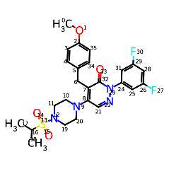 COc1ccc(Cc2c(N3CCN(S(=O)(=O)C(C)C)CC3)cnn(-c3cc(F)cc(F)c3)c2=O)cc1